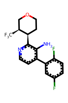 Nc1c(-c2cc(F)ccc2F)ccnc1[C@@H]1CCOC[C@@H]1C(F)(F)F